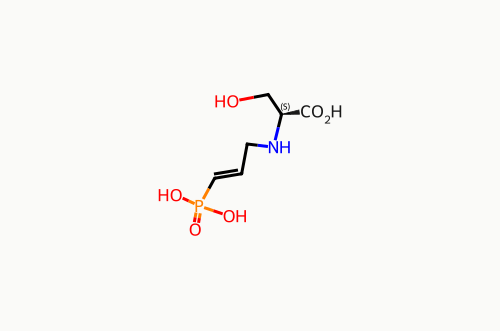 O=C(O)[C@H](CO)NCC=CP(=O)(O)O